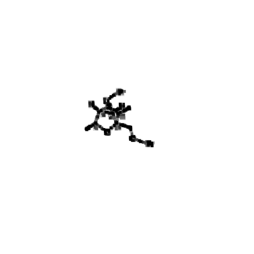 CC(C)OC[C@]12O[C@@H](C)[C@H](O[C@H]1C)[C@@H]2OC(C)C